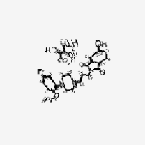 CC(C)Oc1ccc(F)cc1N1CCN(CCCN2C(=O)C3CCC(O)CC3C2=O)CC1.O=C(O)C(O)C(O)C(=O)O